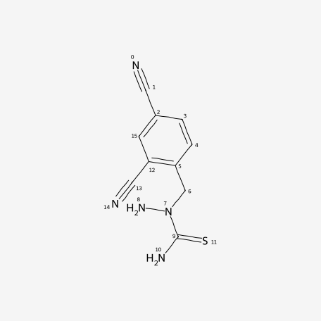 N#Cc1ccc(CN(N)C(N)=S)c(C#N)c1